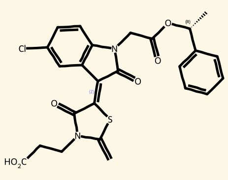 C=c1s/c(=C2\C(=O)N(CC(=O)O[C@H](C)c3ccccc3)c3ccc(Cl)cc32)c(=O)n1CCC(=O)O